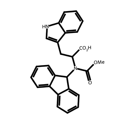 COC(=O)N(C(Cc1c[nH]c2ccccc12)C(=O)O)C1c2ccccc2-c2ccccc21